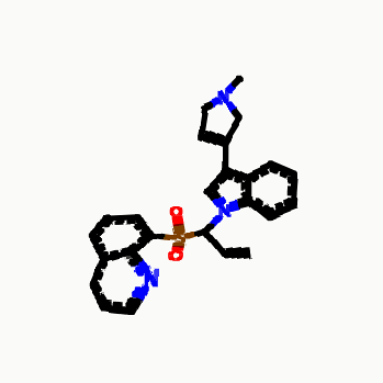 C=CC(n1cc(C2=CCN(C)C2)c2ccccc21)S(=O)(=O)c1cccc2cccnc12